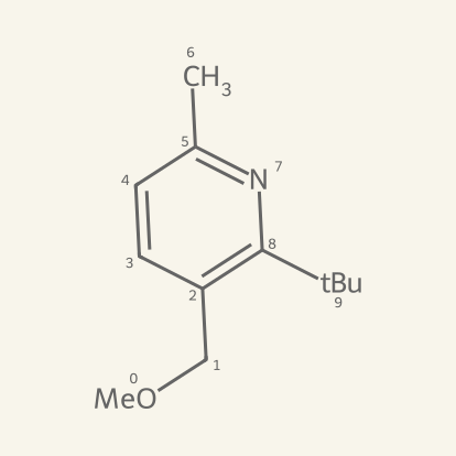 COCc1ccc(C)nc1C(C)(C)C